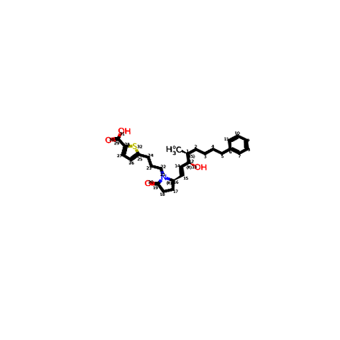 C[C@@H](CCCCc1ccccc1)[C@@H](O)C=C[C@H]1CCC(=O)N1CCCc1ccc(C(=O)O)s1